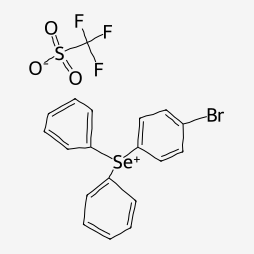 Brc1ccc([Se+](c2ccccc2)c2ccccc2)cc1.O=S(=O)([O-])C(F)(F)F